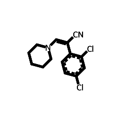 N#CC(=CN1CCCCC1)c1ccc(Cl)cc1Cl